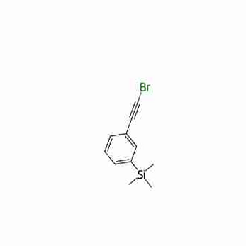 C[Si](C)(C)c1cccc(C#CBr)c1